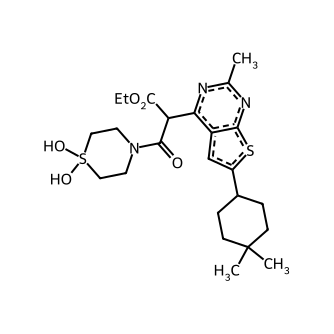 CCOC(=O)C(C(=O)N1CCS(O)(O)CC1)c1nc(C)nc2sc(C3CCC(C)(C)CC3)cc12